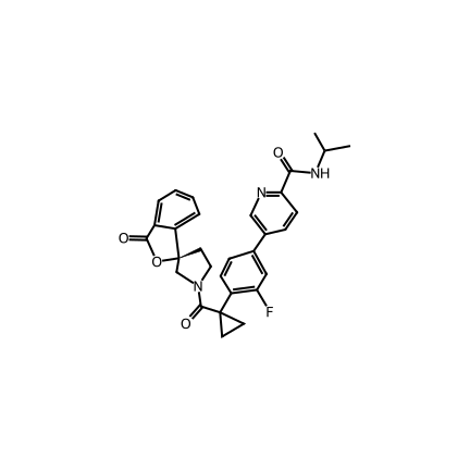 CC(C)NC(=O)c1ccc(-c2ccc(C3(C(=O)N4CC[C@@]5(C4)OC(=O)c4ccccc45)CC3)c(F)c2)cn1